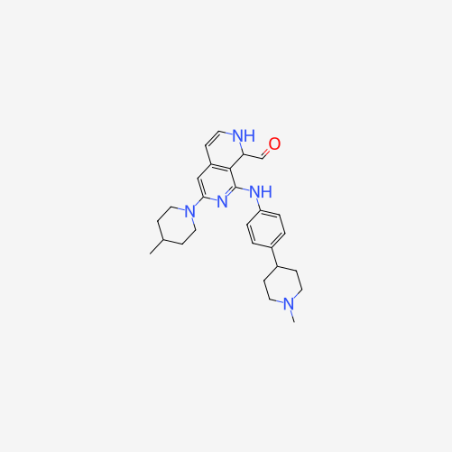 CC1CCN(c2cc3c(c(Nc4ccc(C5CCN(C)CC5)cc4)n2)C(C=O)NC=C3)CC1